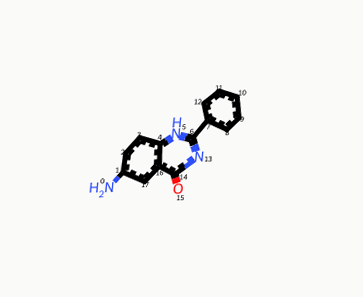 Nc1ccc2[nH]c(-c3ccccc3)nc(=O)c2c1